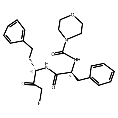 O=C(CF)[C@H](CCc1ccccc1)NC(=O)[C@H](Cc1ccccc1)NC(=O)N1CCOCC1